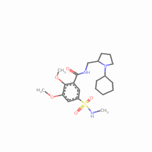 CNS(=O)(=O)c1cc(OC)c(OC)c(C(=O)NCC2CCCN2C2CCCCC2)c1